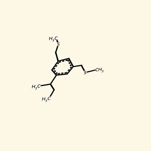 CCC(C)c1cc(CSC)cc(CSC)c1